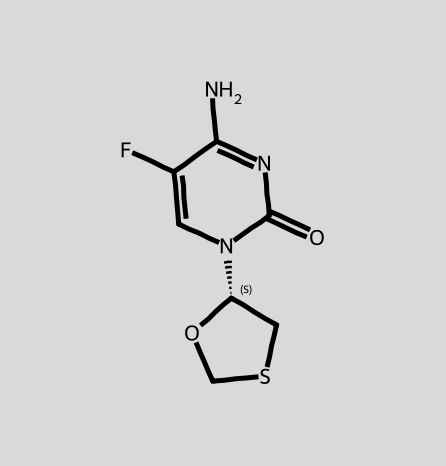 Nc1nc(=O)n([C@@H]2CSCO2)cc1F